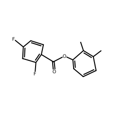 Cc1cccc(OC(=O)c2ccc(F)cc2F)c1C